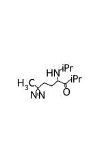 CC(C)NC(CCC1(C)N=N1)C(=O)C(C)C